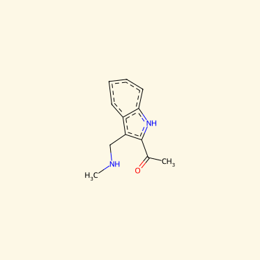 CNCc1c(C(C)=O)[nH]c2ccccc12